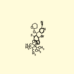 CC(C)[Si](C(C)C)(C(C)C)n1ccc2c(Br)c(C(OC3CCCCO3)c3ccnc(C#N)c3)c(F)cc21